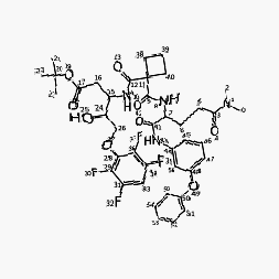 CN(C)C(=O)CCC(NC(=O)C1(C(=O)NC(CC(=O)OC(C)(C)C)C(O)COc2c(F)c(F)cc(F)c2F)CCC1)C(=O)Nc1cccc(Oc2ccccc2)c1